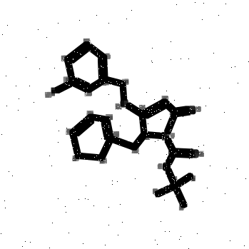 CC(C)(C)OC(=O)N1C(=O)C=C(OCc2cccc(F)c2)C1CC1=CC=CCC1